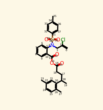 C=C(Cl)CN(c1ccccc1C(=O)OC(=O)CCC(C)c1cc(C)ccc1C)S(=O)(=O)c1ccc(C)cc1